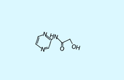 O=C(CO)Nc1cnccn1